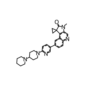 CN1C(=O)C2(CC2)c2c1cnc1ccc(-c3ccc(N4CCC(N5CCCCC5)CC4)nc3)cc21